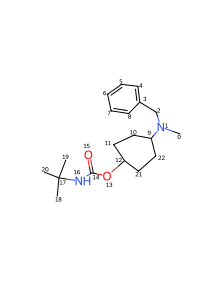 CN(Cc1ccccc1)C1CCC(OC(=O)NC(C)(C)C)CC1